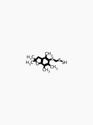 Cc1c(C)c(SCSS)c(C)c2c1OC(C)(C)C2